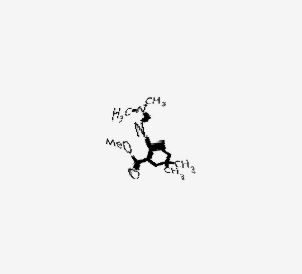 COC(=O)C1=C(N=CN(C)C)CCC(C)(C)C1